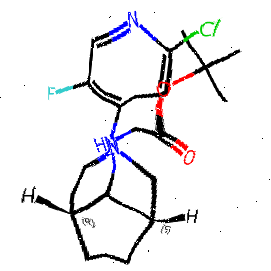 CC(C)(C)OC(=O)NC1[C@@H]2CC[C@H]1CN(c1cc(Cl)ncc1F)C2